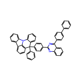 c1ccc(-c2ccc(-c3nc(-c4ccc(C5(c6ccccc6)c6ccccc6-n6c7ccccc7c7cccc5c76)cc4)nc4ccccc34)cc2)cc1